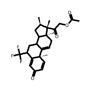 CC(=O)OCC(=O)[C@@]1(C)[C@H](C)CC2C3CC(C(F)(F)F)C4=CC(=O)C=C[C@]4(C)C3=CC[C@@]21C